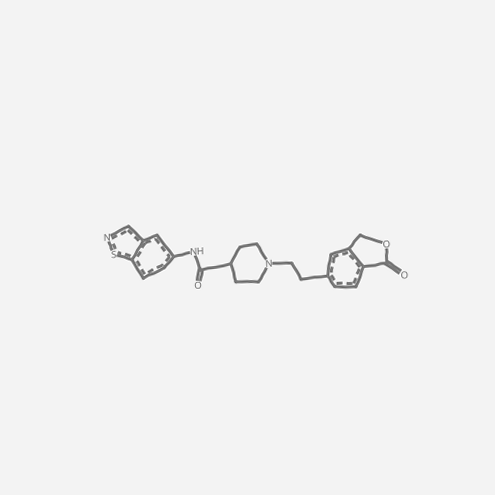 O=C1OCc2cc(CCN3CCC(C(=O)Nc4ccc5sncc5c4)CC3)ccc21